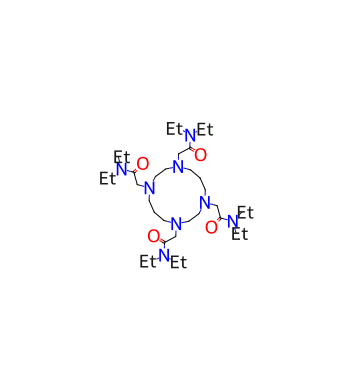 CCN(CC)C(=O)CN1CCCN(CC(=O)N(CC)CC)CCN(CC(=O)N(CC)CC)CCCN(CC(=O)N(CC)CC)CC1